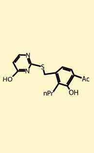 CCCc1c(CSc2nccc(O)n2)ccc(C(C)=O)c1O